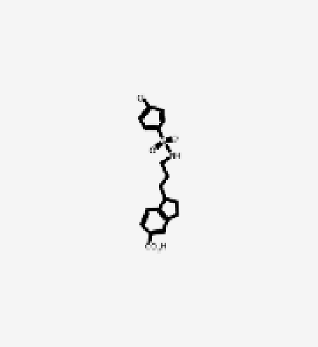 O=C(O)c1ccc2c(c1)CCC2CCCNS(=O)(=O)c1ccc(Cl)cc1